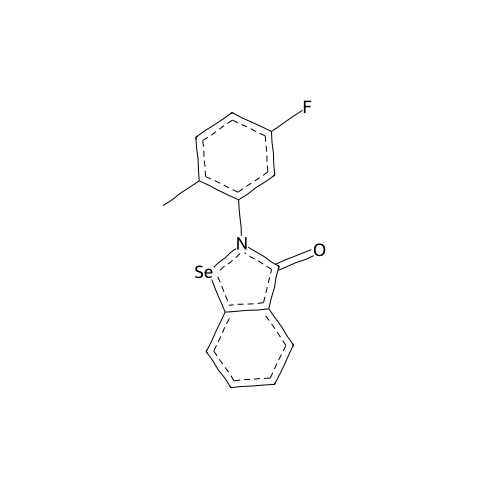 Cc1ccc(F)cc1-n1[se]c2ccccc2c1=O